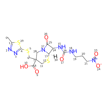 Cc1nnc(SCC2(C(=O)O)CS[C@@H]3C(NC(=O)NCCC[N+](=O)[O-])C(=O)N3C2)s1